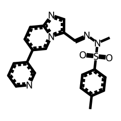 Cc1ccc(S(=O)(=O)N(C)N=Cc2cnc3ccc(-c4cccnc4)cn23)cc1